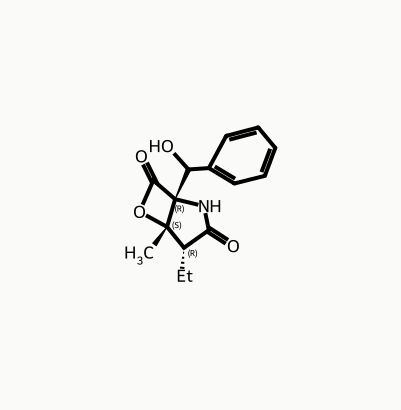 CC[C@H]1C(=O)N[C@@]2(C(O)c3ccccc3)C(=O)O[C@@]12C